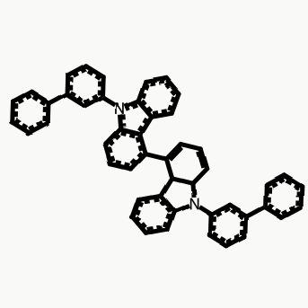 C1=CC2C(C(c3cccc4c3c3ccccc3n4-c3cccc(-c4ccccc4)c3)=C1)c1ccccc1N2c1cccc(-c2ccccc2)c1